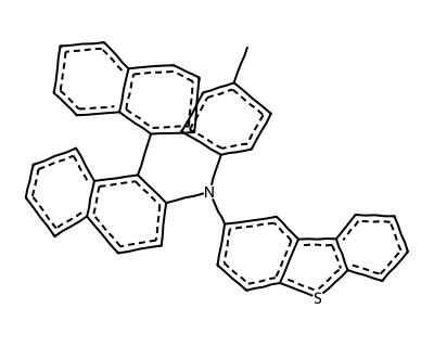 Cc1ccc(N(c2ccc3sc4ccccc4c3c2)c2ccc3ccccc3c2-c2cccc3ccccc23)cc1